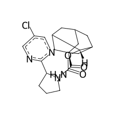 NC(=O)[C@]12CC3CC(C1)[C@@H](OC(=O)N1CCCC1c1ncc(Cl)cn1)C(C3)C2